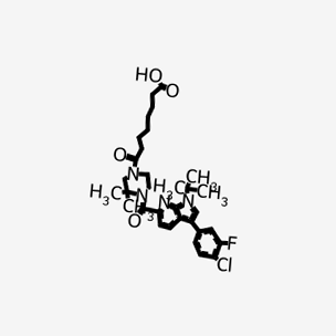 CC1(C)CN(C(=O)CCCCCCC(=O)O)CCN1C(=O)c1ccc2c(-c3ccc(Cl)c(F)c3)cn(C(C)(C)C)c2n1